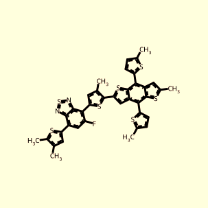 Cc1ccc(-c2c3cc(-c4sc(-c5c(F)cc(-c6cc(C)c(C)s6)c6nsnc56)cc4C)sc3c(-c3ccc(C)s3)c3cc(C)sc23)s1